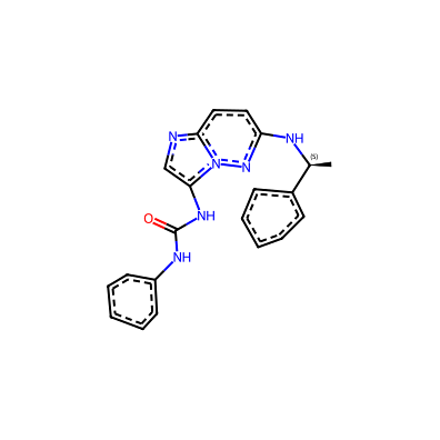 C[C@H](Nc1ccc2ncc(NC(=O)Nc3ccccc3)n2n1)c1ccccc1